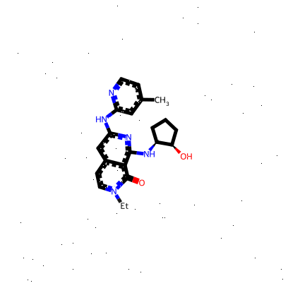 CCn1ccc2cc(Nc3cc(C)ccn3)nc(N[C@H]3CCC[C@H]3O)c2c1=O